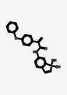 C=C(C(=O)Nc1ccc2c(c1)S(O)(O)C=C2)c1ccc(Oc2ccccc2)cc1